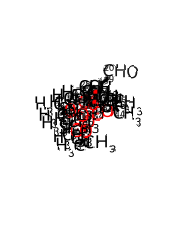 C[Si](C)(C)O[Si](C)(O[Si](C)(C)C)O[Si](CCCCCCC=O)(O[Si](C)(O[Si](C)(C)C)O[Si](C)(C)C)O[Si](C)(O[Si](C)(C)C)O[Si](C)(C)C